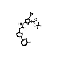 Cc1cccc(-n2ccc(CC(=O)Nc3cc(C4CC4)n(C(=O)OC(C)(C)C)n3)n2)n1